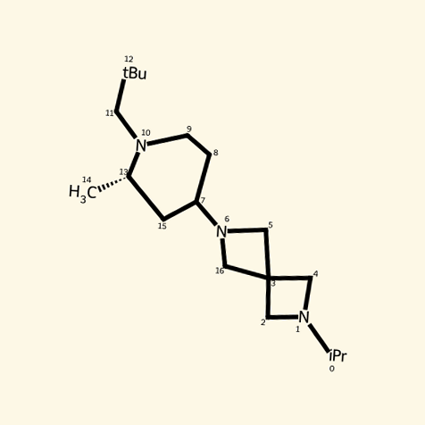 CC(C)N1CC2(C1)CN(C1CCN(CC(C)(C)C)[C@@H](C)C1)C2